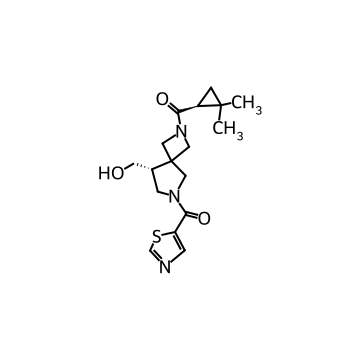 CC1(C)C[C@@H]1C(=O)N1CC2(CN(C(=O)c3cncs3)C[C@@H]2CO)C1